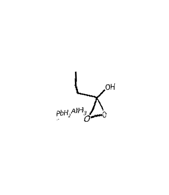 CCC1(O)OO1.[AlH3].[PbH2]